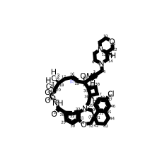 CO[C@@]1(C#CCN2CCN3CCOC[C@@H]3C2)/C=C/C[C@H](C)[C@@H](C)S(=O)(=O)NC(=O)c2ccc3c(c2)N(C[C@@H]2CC[C@H]21)C[C@@]1(CCCc2cc(Cl)ccc21)CO3